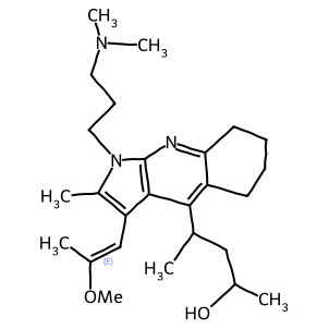 CO/C(C)=C/c1c(C)n(CCCN(C)C)c2nc3c(c(C(C)CC(C)O)c12)CCCC3